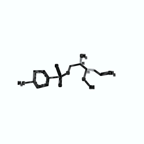 C=CC[C@H](OS)[C@@H](C)COS(=O)(=O)c1ccc(C)cc1